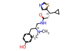 CN(C)[C@H](CNC(=O)C[C@H](c1cncs1)C1CC1)Cc1ccc(O)cc1